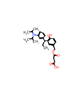 CCC(c1cccc(N(C(C)C)C(C)C)c1)c1cc(COC(=O)CCC(=O)O)ccc1O